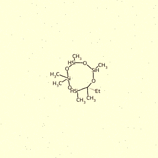 CC[C@@]1(C)O[SiH](C)O[SiH](C)O[Si](C)(C)O[SiH]1C